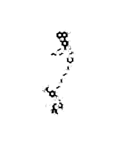 C=CC(=O)N1CCN(c2nc(O[C@H](C)CN3CCC(OCCOCCOCCOCCOc4cc(-c5scnc5C)ccc4CNC(=O)[C@@H]4C[C@@H](O)CN4C(=O)[C@@H](c4cc(C)no4)C(C)C)CC3)nc3c(F)c(-c4cc(O)cc5ccccc45)c(Cl)cc23)CC1